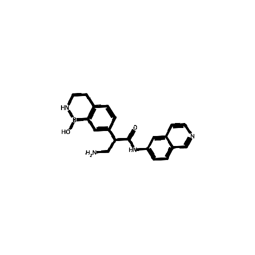 NCC(C(=O)Nc1ccc2cnccc2c1)c1ccc2c(c1)B(O)NCC2